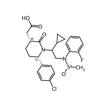 C[S+]([O-])N(CC(C1CC1)N1C(=O)[C@@H](CC(=O)O)CC[C@H]1c1ccc(Cl)cc1)c1ccccc1F